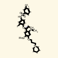 C=Nc1cc(OCCCN2CCCCC2)c(OC)cc1/C(=C\C)Oc1ccc(NS(=O)(=O)c2cccc(C(F)(F)F)c2)cc1F